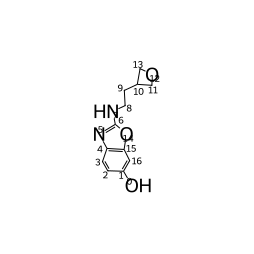 Oc1ccc2nc(NCCC3COC3)oc2c1